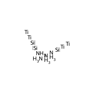 N.N.N.N.[Si].[Si].[Si].[Ti].[Ti].[Ti].[Ti]